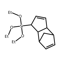 CCO[Si](OCC)(OCC)C1C=CC2C3C=CC(C3)C21